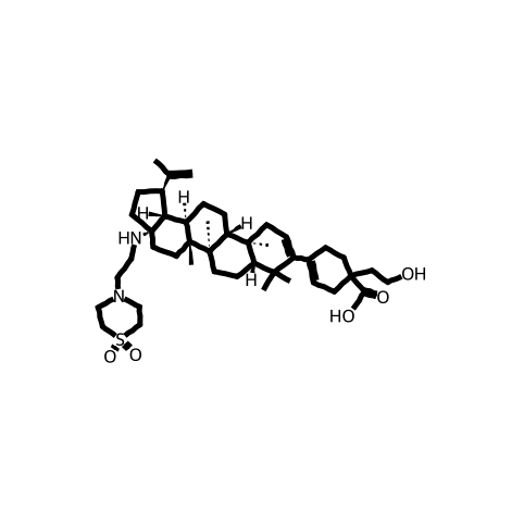 C=C(C)[C@@H]1CC[C@]2(NCCN3CCS(=O)(=O)CC3)CC[C@]3(C)[C@H](CC[C@@H]4[C@@]5(C)CC=C(C6=CCC(CCO)(C(=O)O)CC6)C(C)(C)[C@@H]5CC[C@]43C)[C@@H]12